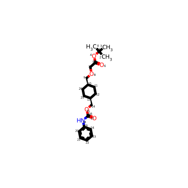 CC(C)(C)OC(=O)COC[C@H]1CC[C@@H](COC(=O)Nc2ccccc2)CC1